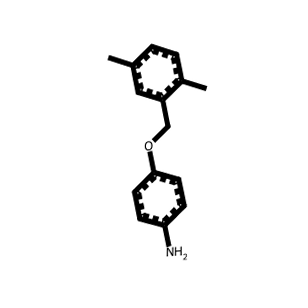 Cc1ccc(C)c(COc2ccc(N)cc2)c1